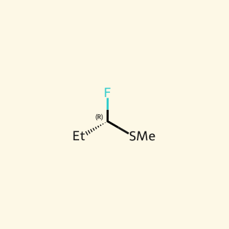 CC[C@H](F)SC